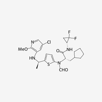 COc1ncc(Cl)cc1N[C@H](C)c1ccc(N(C=O)[C@@H](CC2CCCC2)C(=O)N[C@@H]2CC2(F)F)s1